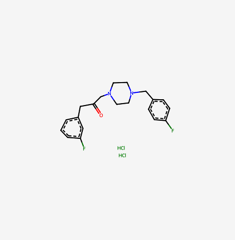 Cl.Cl.O=C(Cc1cccc(F)c1)CN1CCN(Cc2ccc(F)cc2)CC1